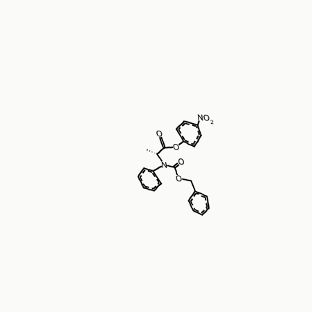 C[C@H](C(=O)Oc1ccc([N+](=O)[O-])cc1)N(C(=O)OCc1ccccc1)c1ccccc1